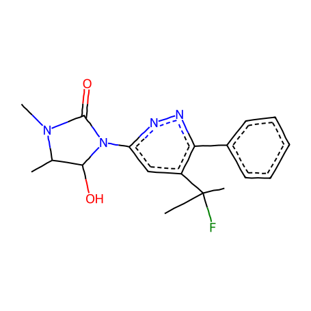 CC1C(O)N(c2cc(C(C)(C)F)c(-c3ccccc3)nn2)C(=O)N1C